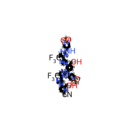 CS(=O)(=O)N1CCC(Nc2ncc(C(F)(F)F)c(-c3cn(-c4cc(N(c5ncc(C(F)(F)F)c(-c6cn(-c7ccc(C#N)nc7CO)cn6)n5)C5CCN(S(C)(=O)=O)CC5)ccc4CO)cn3)n2)CC1